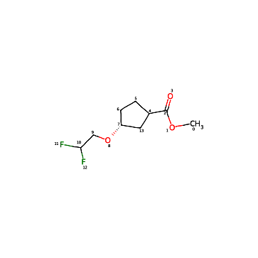 COC(=O)C1CC[C@@H](OCC(F)F)C1